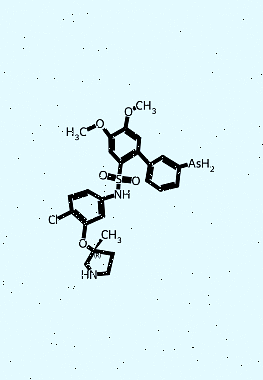 COc1cc(-c2cccc([AsH2])c2)c(S(=O)(=O)Nc2ccc(Cl)c(O[C@]3(C)CCNC3)c2)cc1OC